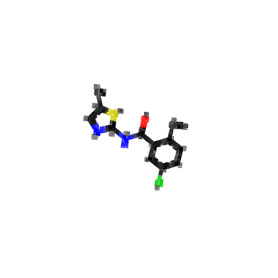 COc1ccc(Cl)cc1C(=O)Nc1ncc(C#N)s1